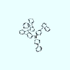 c1ccc(-c2ccc(N(c3ccc(-c4cccc5ccccc45)cc3)c3ccc4c(c3)C(c3ccccc3)(c3cccc5c3sc3ccccc35)c3ccccc3-4)cc2)cc1